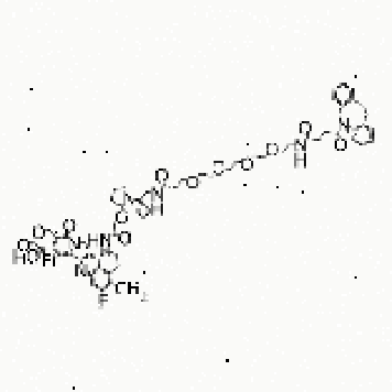 CC[C@@]1(O)C(=O)OCc2c1cc1n(c2=O)Cc2c-1nc1cc(F)c(C)c3c1c2[C@@H](NC(=O)COC1CCCN1C(=O)CNC(=O)CCOCCOCCOCCOCCNC(=O)CCC(=O)N1Cc2ccccc2CCc2ccccc21)CC3